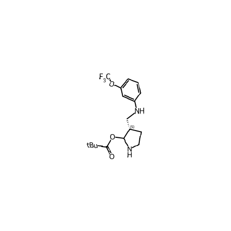 CC(C)(C)C(=O)OC1NCC[C@H]1CNc1cccc(OC(F)(F)F)c1